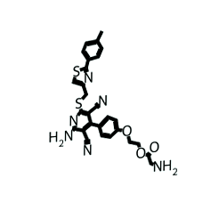 Cc1ccc(-c2nc(CSc3nc(N)c(C#N)c(-c4ccc(OCCOC(=O)CN)cc4)c3C#N)cs2)cc1